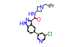 CC(C)CN1CC(NC(=O)c2n[nH]c3ccc(-c4cncc(Cl)c4)cc23)C1